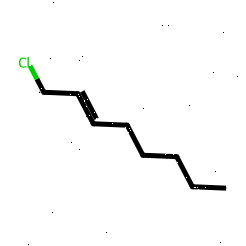 CCCCCC=C[CH]Cl